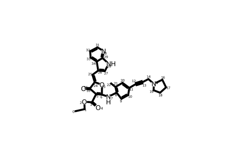 CCOC(=O)C1=C(Nc2ccc(C#CCN3CCCC3)cc2C)O/C(=C\c2c[nH]c3ncccc23)C1=O